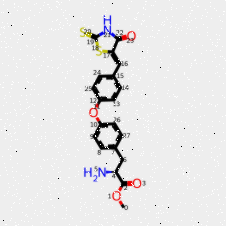 COC(=O)[C@@H](N)Cc1ccc(Oc2ccc(/C=C3\SC(=S)NC3=O)cc2)cc1